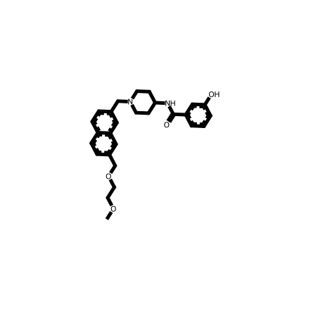 COCCOCc1ccc2ccc(CN3CCC(NC(=O)c4cccc(O)c4)CC3)cc2c1